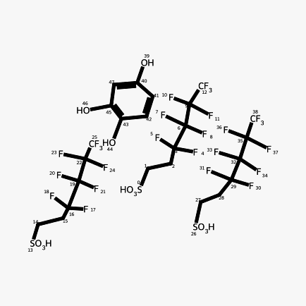 O=S(=O)(O)CCC(F)(F)C(F)(F)C(F)(F)C(F)(F)F.O=S(=O)(O)CCC(F)(F)C(F)(F)C(F)(F)C(F)(F)F.O=S(=O)(O)CCC(F)(F)C(F)(F)C(F)(F)C(F)(F)F.Oc1ccc(O)c(O)c1